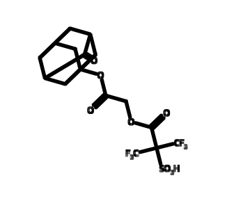 O=C(COC(=O)C(C(F)(F)F)(C(F)(F)F)S(=O)(=O)O)OC12CC3CC(C1)C(=O)C(C3)C2